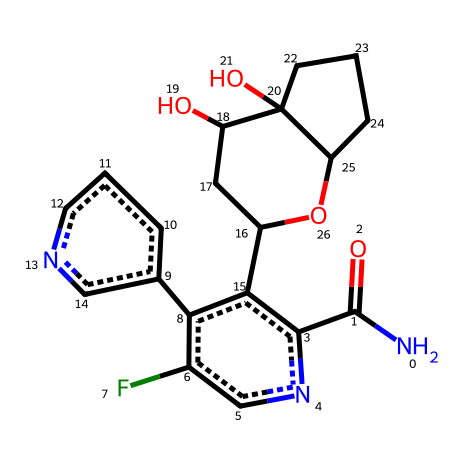 NC(=O)c1ncc(F)c(-c2cccnc2)c1C1CC(O)C2(O)CCCC2O1